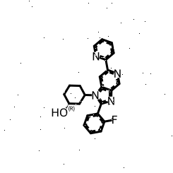 O[C@@H]1CCCC(n2c(-c3ccccc3F)nc3cnc(-c4ccccn4)cc32)C1